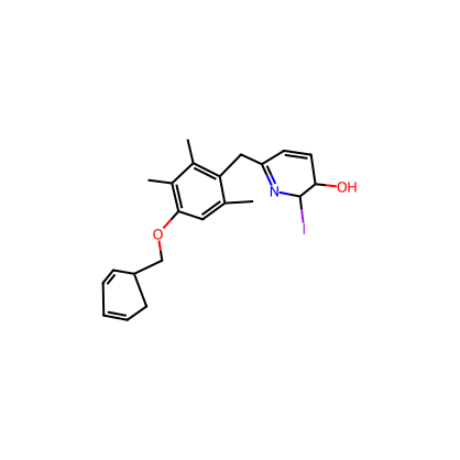 Cc1cc(OCC2C=CC=CC2)c(C)c(C)c1CC1=NC(I)C(O)C=C1